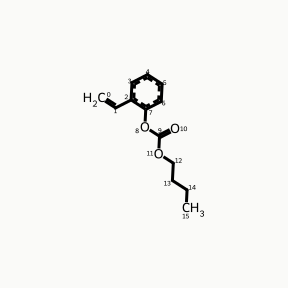 C=Cc1ccccc1OC(=O)OCCCC